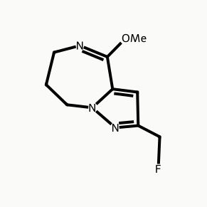 COC1=NCCCn2nc(CF)cc21